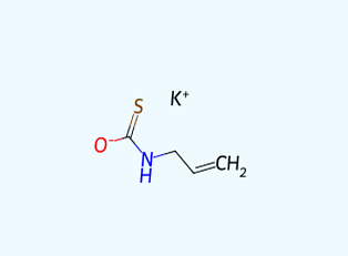 C=CCNC([O-])=S.[K+]